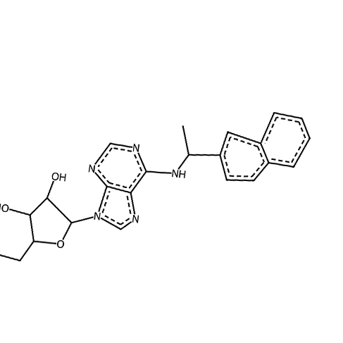 CC(Nc1ncnc2c1ncn2C1OC(CO)C(O)C1O)c1ccc2ccccc2c1